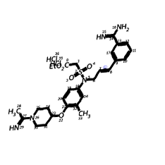 CCOC(=O)CS(=O)(=O)N(C/C=C/c1cccc(C(=N)N)c1)c1ccc(OC2CCN(C(C)=N)CC2)c(C)c1.Cl.Cl